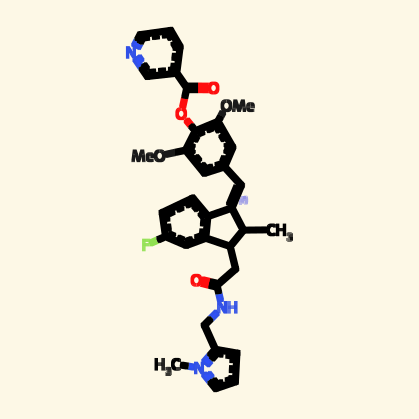 COc1cc(/C=C2\c3ccc(F)cc3C(CC(=O)NCc3cccn3C)C2C)cc(OC)c1OC(=O)c1cccnc1